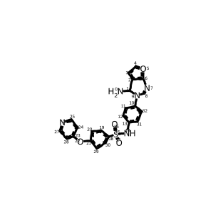 NC1c2ccoc2N=CN1c1ccc(NS(=O)(=O)c2ccc(Oc3ccncc3)cc2)cc1